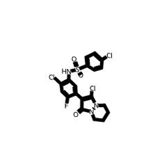 O=c1c(-c2cc(NS(=O)(=O)c3ccc(Cl)cc3)c(Cl)cc2F)c(Cl)n2n1CCCC2